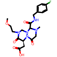 COCCN1CN2C(C(=O)NCc3ccc(F)cc3)N(C)CC(=O)N2[C@@H](CC(=O)O)C1=O